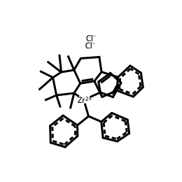 CC12CCC3C(=C1[C](C)([Zr+2]([CH]1C=CC=C1)[CH](c1ccccc1)c1ccccc1)C(C)(C)C(C)(C)C2(C)C)Cc1ccccc13.[Cl-].[Cl-]